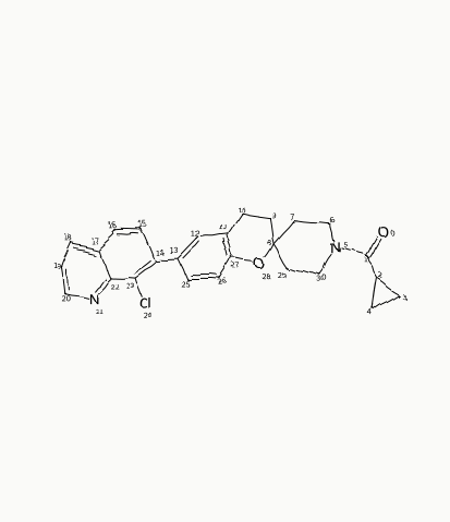 O=C(C1CC1)N1CCC2(CCc3cc(-c4ccc5cccnc5c4Cl)ccc3O2)CC1